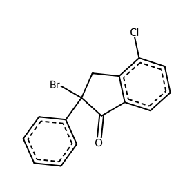 O=C1c2cccc(Cl)c2CC1(Br)c1ccccc1